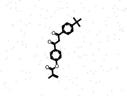 C=C(C)C(=O)Oc1ccc(C(=O)CC(=O)c2ccc(C(C)(C)C)cc2)cc1